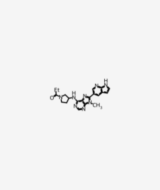 CCC(=O)N1CCC(Nc2ncnc3c2nc(-c2cnc4[nH]ccc4c2)n3C)C1